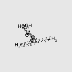 CCCCCCCCC(CCCCCCCC)CC(=O)OCCC(=O)OCC(CO)CO